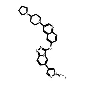 Cn1cc(-c2ccc3nnc(Sc4ccc5ncc(N6CCC(N7CCCC7)CC6)cc5c4)n3c2)cn1